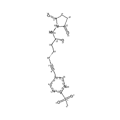 CS(=O)(=O)c1ncc(C#CCCCC(=O)NN2C(=O)CCC2=O)cn1